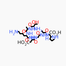 CC(NC(=O)CNC(=O)C(CC(=O)O)NC(=O)C(CCCCN)NC(=O)C(C)NC(=O)C(N)C(C)O)C(=O)NC(C(=O)O)C1CCCN1